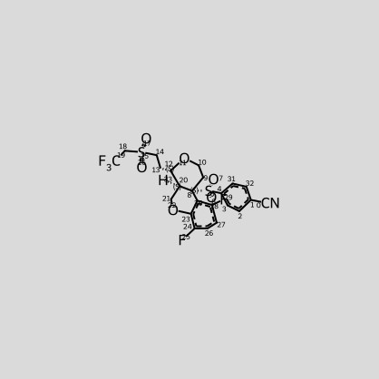 N#Cc1ccc(S(=O)(=O)[C@@]23CCO[C@@H](CCS(=O)(=O)CC(F)(F)F)[C@@H]2COc2c(F)ccc(F)c23)cc1